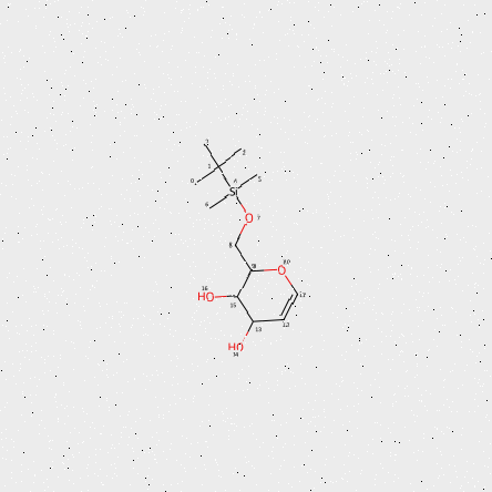 CC(C)(C)[Si](C)(C)OCC1OC=CC(O)C1O